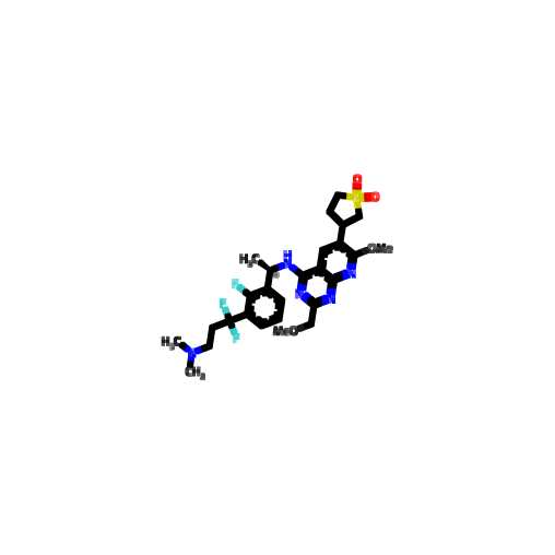 COCc1nc(N[C@H](C)c2cccc(C(F)(F)CCN(C)C)c2F)c2cc(C3CCS(=O)(=O)C3)c(OC)nc2n1